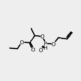 C=CCO[PH](=O)OC(C)C(=O)OCC